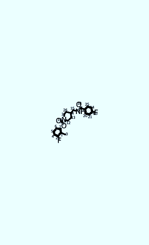 Cc1c(F)cccc1OC(=O)N1CCC(CNC(=O)c2ccc(F)cc2)CC1